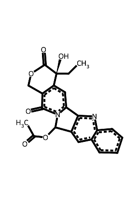 CC[C@@]1(O)C(=O)OCc2c1cc1n(c2=O)C(OC(C)=O)c2cc3ccccc3nc2-1